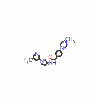 CN1CCN(c2ccc(CC(=O)N[C@@H]3CCN(c4cncc(C(F)(F)F)c4)C3)cc2)CC1